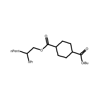 CCCCCC(CCC)COC(=O)C1CCC(C(=O)OCC(C)C)CC1